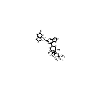 CC(C)(C)OC(=O)N1[C@@H]2CC(F)[C@H]1CN(c1nc(OC[C@@]34CCCN3C[C@H](F)C4)nc3scnc13)C2